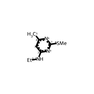 CCNc1cc(C)nc(SC)n1